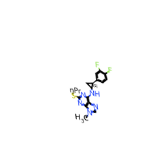 CCCSc1nc(NC2C[C@H]2c2ccc(F)c(F)c2)c2ncn(C)c2n1